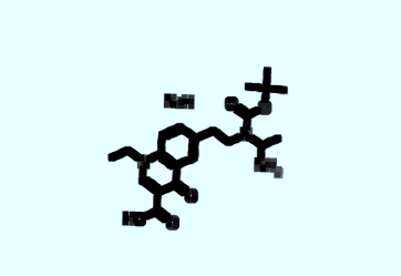 CCn1cc(C(=O)O)c(=O)c2cc(CCN(C(=O)OC(C)(C)C)C(C)N)ccc21.[NaH]